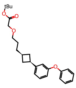 CC(C)(C)OC(=O)COCCC[C@H]1C[C@@H](c2cccc(Oc3ccccc3)c2)C1